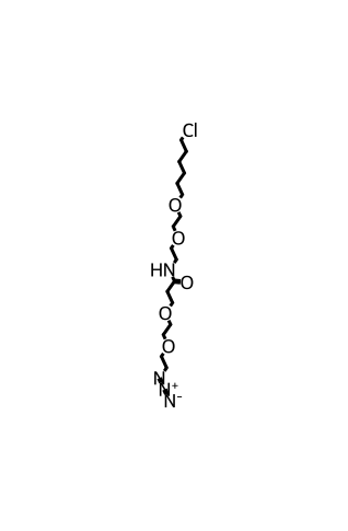 [N-]=[N+]=NCCOCCOCCC(=O)NCCOCCOCCCCCCCl